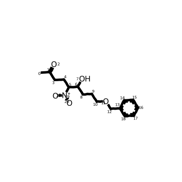 CC(=O)CCC(C(O)CCCOCc1ccccc1)[N+](=O)[O-]